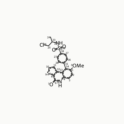 COc1ccc2[nH]c(=O)c3sccc3c2c1-c1ccc(S(=O)(=O)NC(C)CCl)cc1